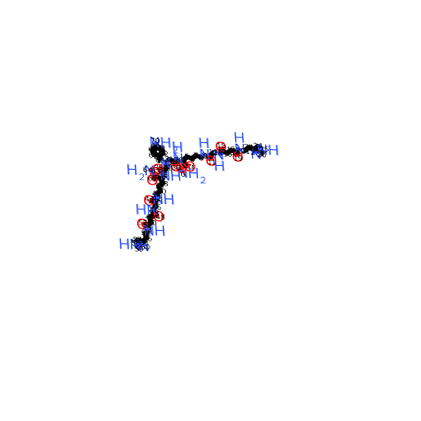 NOC(=O)C(CCCCNC(=O)CNC(=O)CCC(=O)NCCc1c[nH]cn1)NC(=O)CN(CC(=O)NC(CCCCNC(=O)CNC(=O)CCC(=O)NCCc1c[nH]cn1)C(=O)ON)Cc1ccc(N)cc1